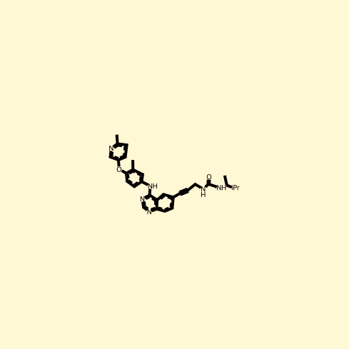 Cc1ccc(Oc2ccc(Nc3ncnc4ccc(C#CCNC(=O)NC(C)C(C)C)cc34)cc2C)cn1